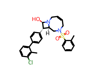 Cc1ccccc1S(=O)(=O)N1C/C=C\CN2[C@H](O)[C@@H](c3ccc(-c4cccc(Cl)c4C)cc3)[C@@H]2C1